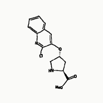 COC(=O)[C@@H]1C[C@@H](Oc2cc3ccccc3nc2Cl)CN1